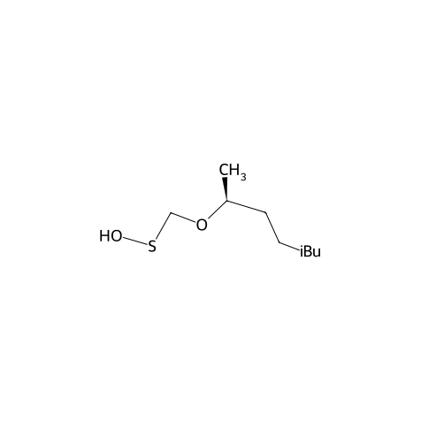 CCC(C)CC[C@H](C)OCSO